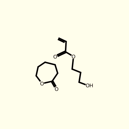 C=CC(=O)OCCCO.O=C1CCCCCO1